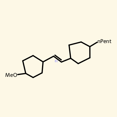 CCCCCC1CCC(/C=C/C2CCC(OC)CC2)CC1